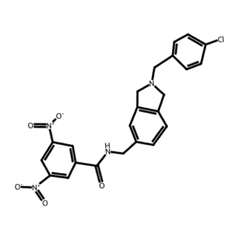 O=C(NCc1ccc2c(c1)CN(Cc1ccc(Cl)cc1)C2)c1cc([N+](=O)[O-])cc([N+](=O)[O-])c1